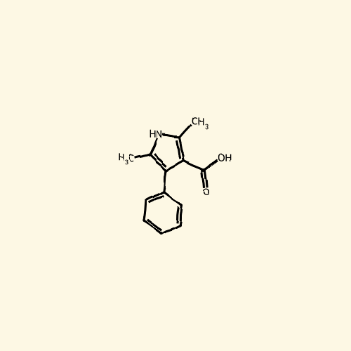 Cc1[nH]c(C)c(-c2ccccc2)c1C(=O)O